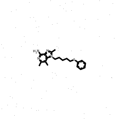 Cc1nc(N)c2nc(C)n(CCCCCSc3ccccc3)c2c1C